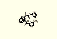 Cc1cncc(C(=O)NC23CC4CC(CC(NC(=O)Oc5ncccn5)(C4)C2)C3)n1